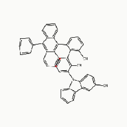 N#Cc1ccc2c(c1)c1ccccc1n2-c1cccc(-c2c(C#N)cccc2-c2c3ccccc3c(-c3ccccc3)c3ccccc23)c1C#N